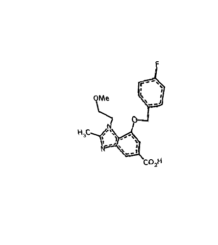 COCCn1c(C)nc2cc(C(=O)O)cc(OCc3ccc(F)cc3)c21